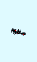 Cn1nc(C(F)(F)F)cc1C(=O)NCc1ccc(OCCCN2CCOCC2)c(Cl)c1